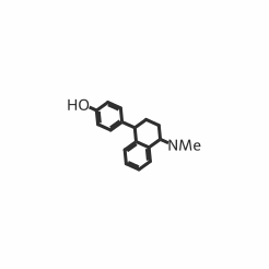 CNC1CCC(c2ccc(O)cc2)c2ccccc21